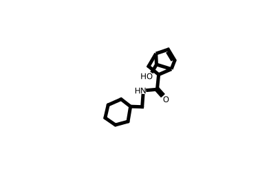 O=C(NCC1CCCCC1)C1CC2C=CC1C2O